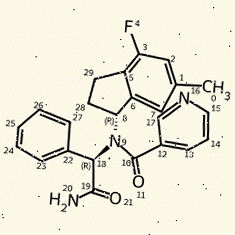 Cc1cc(F)c2c(c1)[C@H](N(C(=O)c1cccnc1)[C@@H](C(N)=O)c1ccccc1)CC2